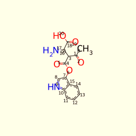 CC(=O)C(C(=O)Oc1c[nH]c2ccccc12)[C@H](N)C(=O)O